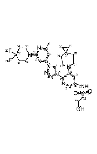 Cc1cc(-c2cn(-c3cnc(NS(=O)(=O)CCO)cc3N3CCC4(CC3)CC4)nn2)nc(N2CCC(F)(F)CC2)n1